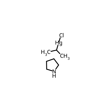 C1CCNC1.C[CH](C)[Hg][Cl]